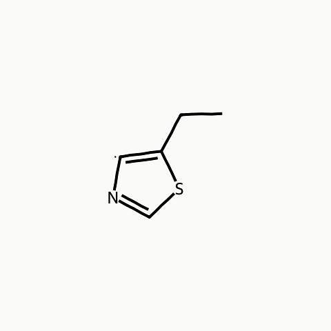 CCc1[c]ncs1